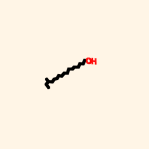 CCC(C)CCCCCCCCCCCCCCO